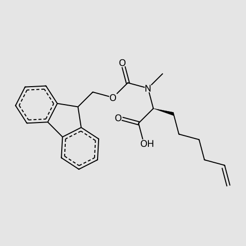 C=CCCCC[C@@H](C(=O)O)N(C)C(=O)OCC1c2ccccc2-c2ccccc21